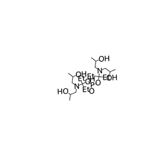 CCC(CC)(O[PH](=O)OC(CC)(CC)N(CC(C)O)CC(C)O)N(CC(C)O)CC(C)O